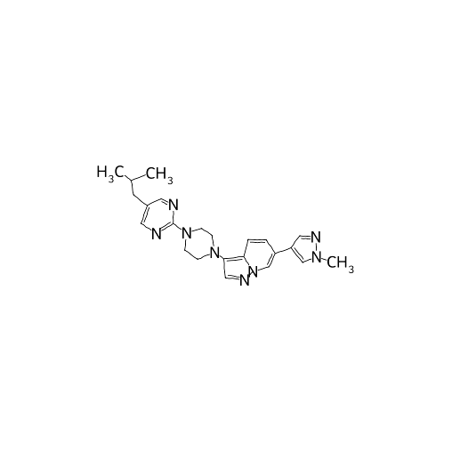 CC(C)Cc1cnc(N2CCN(c3cnn4cc(-c5cnn(C)c5)ccc34)CC2)nc1